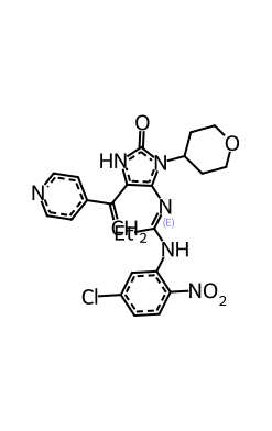 C=C(c1ccncc1)c1[nH]c(=O)n(C2CCOCC2)c1/N=C(\CC)Nc1cc(Cl)ccc1[N+](=O)[O-]